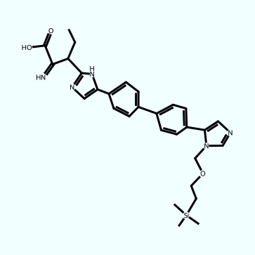 CCC(C(=N)C(=O)O)c1ncc(-c2ccc(-c3ccc(-c4cncn4COCC[Si](C)(C)C)cc3)cc2)[nH]1